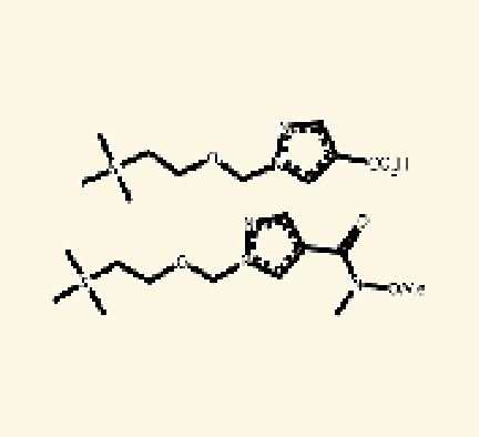 CON(C)C(=O)c1cnn(COCC[Si](C)(C)C)c1.C[Si](C)(C)CCOCn1cc(C(=O)O)cn1